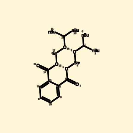 CCCCC(CCCC)[O][Sn][O]C(=O)c1ccccc1C(=O)[O][Sn][O]C(CCCC)CCCC